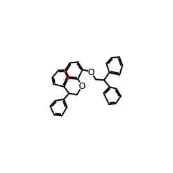 c1ccc(C(COc2ccccc2OCC(c2ccccc2)c2ccccc2)c2ccccc2)cc1